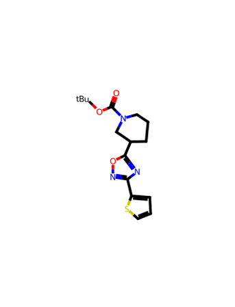 CC(C)(C)OC(=O)N1CCCC(c2nc(-c3cccs3)no2)C1